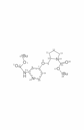 CC(C)(C)OC(=O)Nc1cc(OCC2CCCN2C(=O)OC(C)(C)C)ccn1